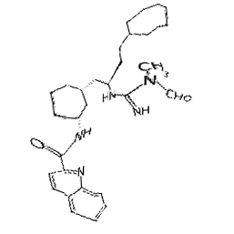 CN(C=O)C(=N)N[C@H](CCC1CCCCC1)C[C@H]1CCC[C@@H](NC(=O)c2ccc3ccccc3n2)C1